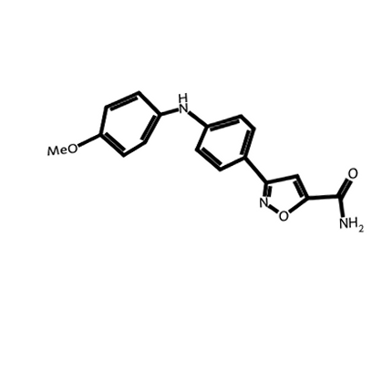 COc1ccc(Nc2ccc(-c3cc(C(N)=O)on3)cc2)cc1